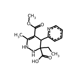 CCC1(C(=O)O)NNC(C)=C(C(=O)OC)C1c1ccccn1